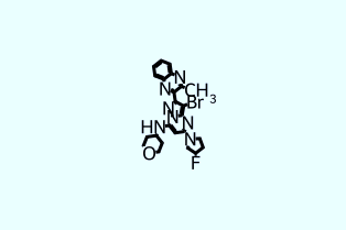 Cc1nc2ccccc2nc1-c1nn2c(NC3CCOCC3)cc(N3CC[C@@H](F)C3)nc2c1Br